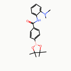 CN(C)c1ccccc1NC(=O)c1ccc(B2OC(C)(C)C(C)(C)O2)cc1